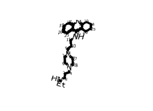 CCNCCCN1CCN(CCCNc2c3c(nc4ccccc24)CCCC3)CC1